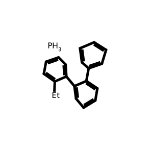 CCc1ccccc1-c1ccccc1-c1ccccc1.P